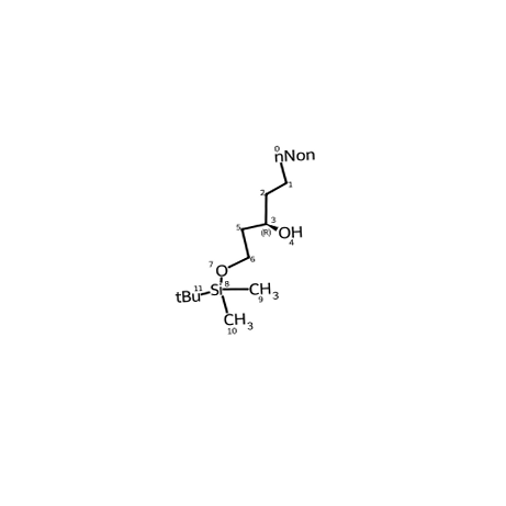 CCCCCCCCCCC[C@@H](O)CCO[Si](C)(C)C(C)(C)C